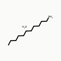 CCCCCCCCCCCN.O